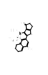 CN1C2=C(CC3=C2C(=O)CC3)C2=C(N1C)C1(C)CCCC=C1C(O)=C2